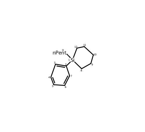 CCCCC[Si]1(c2ccccc2)CCCCC1